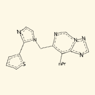 CCCc1c(Cn2ccnc2-c2cccs2)ncn2ncnc12